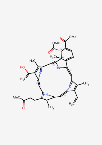 C=CC1=C(C)C2=NC/1=C\C1NC(=C(CCC(=O)OC)C1C)/C=C1N=C(/C=C3\N/C(=C\2)C2=CC=C(C(=O)OC)[C@@H](C(=O)OC)[C@]23C)C(C)=C\1C(=C)O